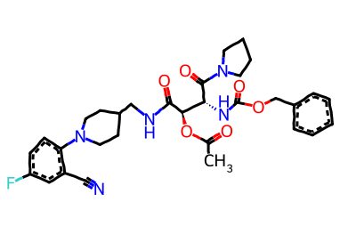 CC(=O)O[C@@H](C(=O)NCC1CCN(c2ccc(F)cc2C#N)CC1)[C@@H](NC(=O)OCc1ccccc1)C(=O)N1CCCC1